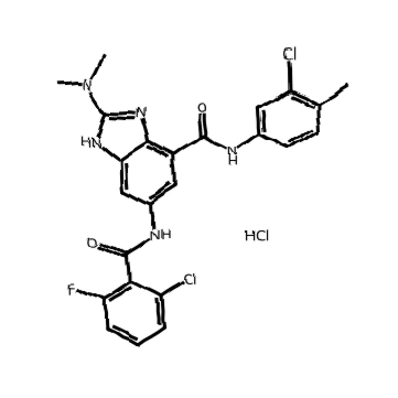 Cc1ccc(NC(=O)c2cc(NC(=O)c3c(F)cccc3Cl)cc3[nH]c(N(C)C)nc23)cc1Cl.Cl